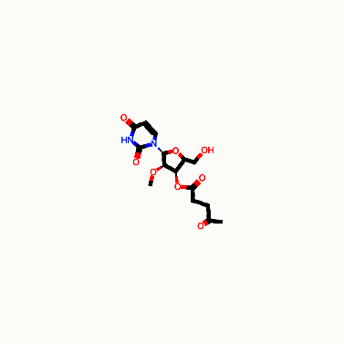 CO[C@@H]1[C@H](OC(=O)CCC(C)=O)C(CO)O[C@H]1n1ccc(=O)[nH]c1=O